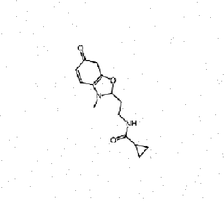 CN1C2=C(CC(=O)C=C2)OC1CCNC(=O)C1CC1